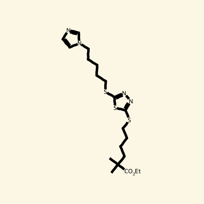 CCOC(=O)C(C)(C)CCCCSc1nnc(SCCCCCn2ccnc2)s1